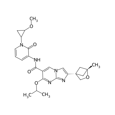 COC1CC1n1cccc(NC(=O)c2cn3cc([C@]45CO[C@@](C)(C4)C5)nc3nc2OC(C)C)c1=O